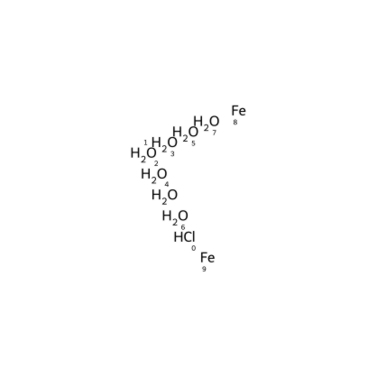 Cl.O.O.O.O.O.O.O.[Fe].[Fe]